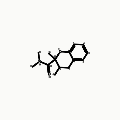 CC1Cc2ccccc2OC1(C)C(=O)N(C)C